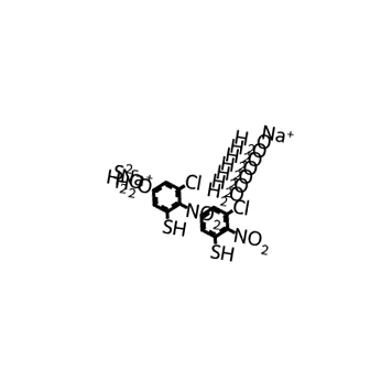 O.O.O.O.O.O.O.O.O.O=[N+]([O-])c1c(S)cccc1Cl.O=[N+]([O-])c1c(S)cccc1Cl.[Na+].[Na+].[S-2]